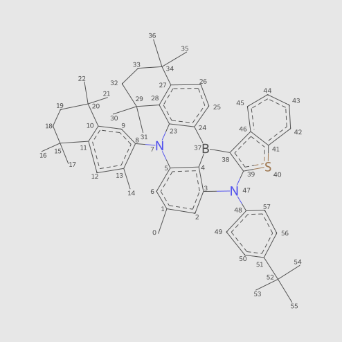 Cc1cc2c3c(c1)N(c1cc4c(cc1C)C(C)(C)CCC4(C)C)c1c(ccc4c1C(C)(C)CCC4(C)C)B3c1c(sc3ccccc13)N2c1ccc(C(C)(C)C)cc1